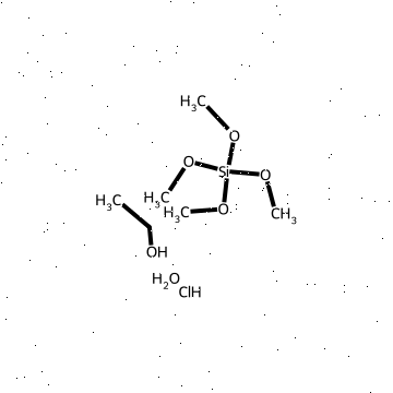 CCO.CO[Si](OC)(OC)OC.Cl.O